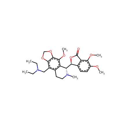 CCN(CC)Cc1c2c(c(OC)c3c1OCO3)[C@H]([C@H]1OC(=O)c3c1ccc(OC)c3OC)N(C)CC2